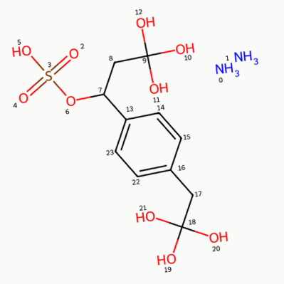 N.N.O=S(=O)(O)OC(CC(O)(O)O)c1ccc(CC(O)(O)O)cc1